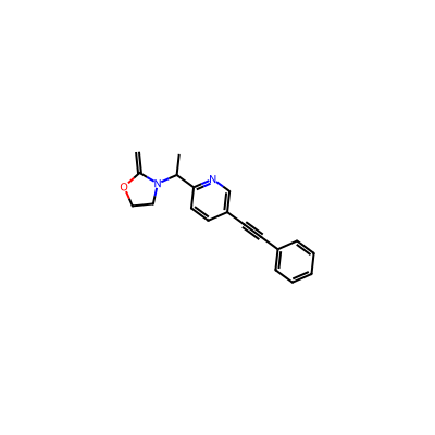 C=C1OCCN1C(C)c1ccc(C#Cc2ccccc2)cn1